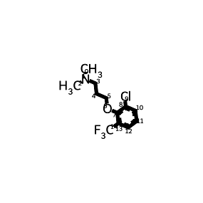 CN(C)CCCOc1c(Cl)cccc1C(F)(F)F